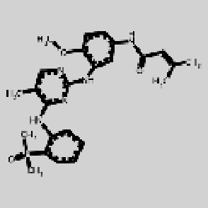 COc1ccc(NC(=O)C=C(C)C)cc1Nc1ncc(C)c(Nc2ccccc2P(C)(C)=O)n1